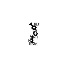 CCOc1cc(CN2CCC(NC(=O)c3cnc(NC)c(C)c3)CC2)ccc1C1CC1